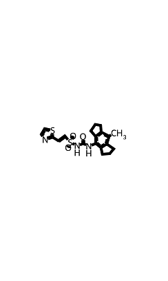 Cc1c2c(c(NC(=O)NS(=O)(=O)/C=C/c3nccs3)c3c1CCC3)CCC2